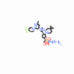 Cc1cc(-n2cnc(-c3ccc(C(=CO)S(N)(=O)=O)cc3N3CCC4(CC3)CC4)c2)cc(N2CCC(F)(F)CC2)n1